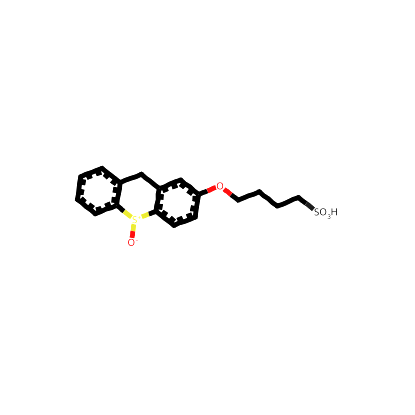 O=S(=O)(O)CCCCOc1ccc2c(c1)Cc1ccccc1[S+]2[O-]